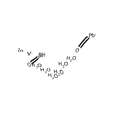 O.O.O.O.O.O.[O]=[BiH].[O]=[Pb].[V].[Zn]